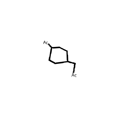 CC(=O)CC1CCC(C(C)=O)CC1